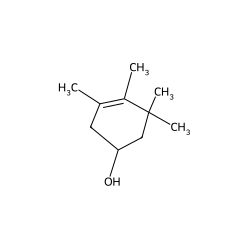 CC1=C(C)C(C)(C)CC(O)C1